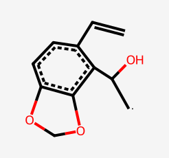 [CH2]C(O)c1c(C=C)ccc2c1OCO2